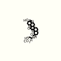 CC1(C)[C@@H](O)CC[C@]2(C)[C@H]3C(=O)C=C4[C@@H]5C[C@@](C)(C(=O)NC(CS)C(=O)O)CC[C@]5(C)CC[C@@]4(C)[C@]3(C)CC[C@@H]12